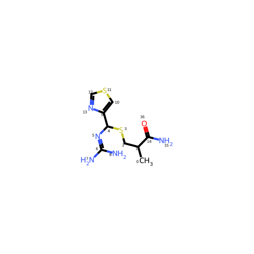 CC(CSC(N=C(N)N)c1cscn1)C(N)=O